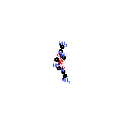 NCc1cccc(C2CCN(C(=O)c3cccc(NC(=O)C[C@]4(c5ccccc5)OB(c5cccc6[nH]c(C(=O)N7CCC(c8cccc(CN)c8)CC7)cc56)OC4=O)c3)CC2)c1